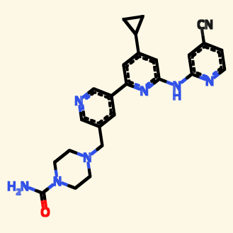 N#Cc1ccnc(Nc2cc(C3CC3)cc(-c3cncc(CN4CCN(C(N)=O)CC4)c3)n2)c1